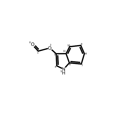 O=[C]Oc1c[nH]c2ccccc12